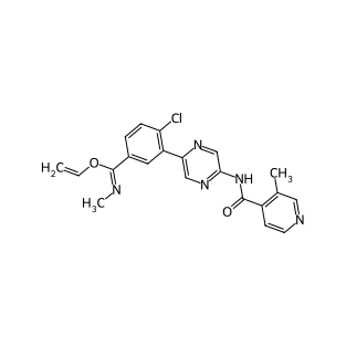 C=CO/C(=N\C)c1ccc(Cl)c(-c2cnc(NC(=O)c3ccncc3C)cn2)c1